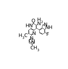 Cc1cc2[nH]c(=O)c(N)c(-c3ccc(F)c4[nH]ncc34)c2nc1N1CC2CCC1CN2C